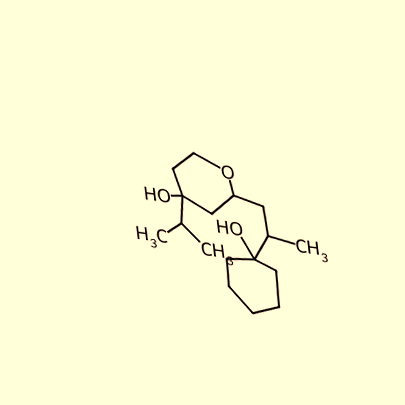 CC(C)C1(O)CCOC(CC(C)C2(O)CCCCC2)C1